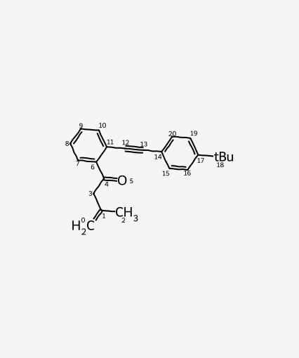 C=C(C)CC(=O)c1ccccc1C#Cc1ccc(C(C)(C)C)cc1